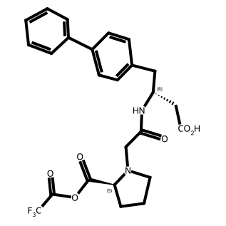 O=C(O)C[C@@H](Cc1ccc(-c2ccccc2)cc1)NC(=O)CN1CCC[C@H]1C(=O)OC(=O)C(F)(F)F